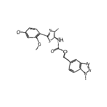 COc1cc(Cl)ccc1-c1nc(C)c(NC(=O)OCc2ccc3c(c2)nnn3C)s1